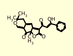 CC1(C)CC2=CC3=C(C(=O)C=C(O)c4ccccc4)C(=O)OC3(C)C(=O)C2=CO1